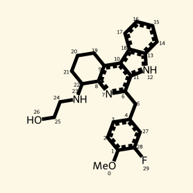 COc1ccc(Cc2nc3c(c4c2[nH]c2ccccc24)CCCC3NCCO)cc1F